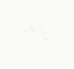 C=Cc1c(/C=C/c2cc3c4ccccc4n(-c4ccccc4)c3c3ccccc23)c2ccccc2n1-c1nc(-c2ccc(-c3ccccc3)c3ccccc23)c2ccccc2n1